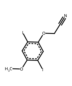 COc1cc(I)c(OCC#N)cc1I